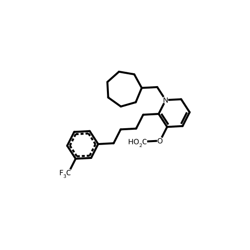 O=C(O)OC1=C(CCCCc2cccc(C(F)(F)F)c2)N(CC2CCCCCC2)CC=C1